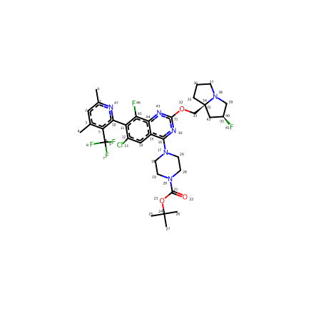 Cc1cc(C)c(C(F)(F)F)c(-c2c(Cl)cc3c(N4CCN(C(=O)OC(C)(C)C)CC4)nc(OC[C@@]45CCCN4C[C@@H](F)C5)nc3c2F)n1